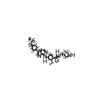 CCc1cc(Nc2nccn3c(-c4ccc(OC(F)F)cc4)cnc23)ccc1C(=O)NCCN1CCNCC1